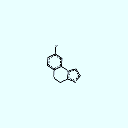 Brc1ccc2c(c1)-n1ccnc1CO2